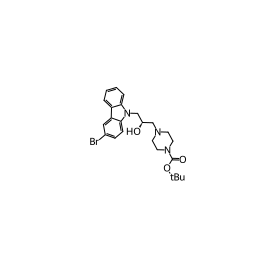 CC(C)(C)OC(=O)N1CCN(C[C@@H](O)Cn2c3ccccc3c3cc(Br)ccc32)CC1